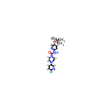 CC(C)(C)[Si](C)(C)Oc1ccc(NC(=O)N2CCN(c3ccc(F)nc3)CC2)nc1